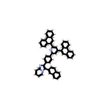 c1ccc2cc(-c3c(-c4ccc(-c5cc(-c6cc7ccccc7c7ccccc67)cc(-c6cc7ccccc7c7ccccc67)n5)cc4)nc4ccccn34)ccc2c1